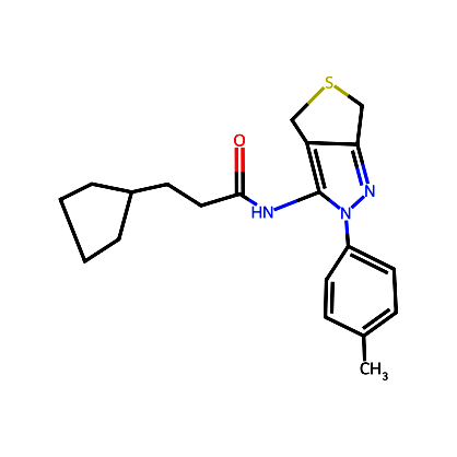 Cc1ccc(-n2nc3c(c2NC(=O)CCC2CCCC2)CSC3)cc1